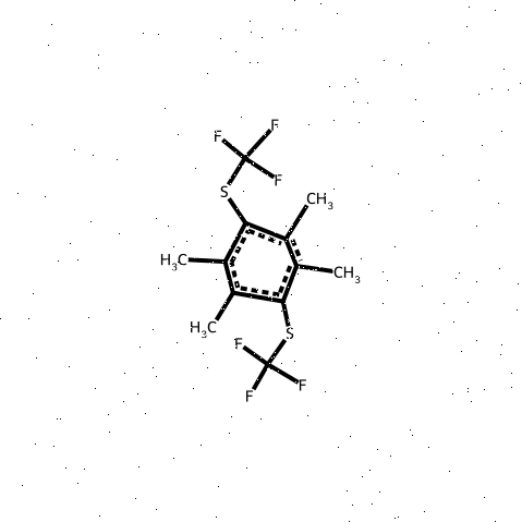 Cc1c(C)c(SC(F)(F)F)c(C)c(C)c1SC(F)(F)F